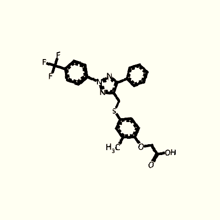 Cc1cc(SCc2nn(-c3ccc(C(F)(F)F)cc3)nc2-c2ccccc2)ccc1OCC(=O)O